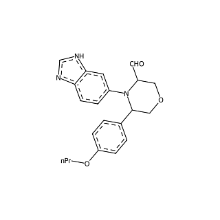 CCCOc1ccc(C2COCC(C=O)N2c2ccc3nc[nH]c3c2)cc1